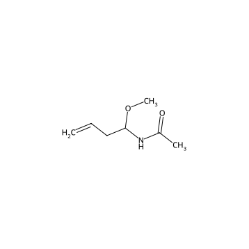 C=CCC(NC(C)=O)OC